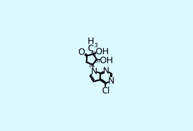 C[C@@]1(O)C(=O)C[C@@H](n2ccc3c(Cl)ncnc32)[C@@H]1O